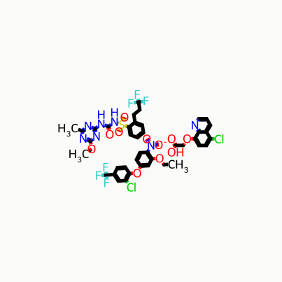 CCOc1cc(Oc2ccc(C(F)(F)F)cc2Cl)ccc1[N+](=O)[O-].COc1nc(C)nc(NC(=O)NS(=O)(=O)c2ccccc2CCC(F)(F)F)n1.O=C(O)COc1ccc(Cl)c2cccnc12